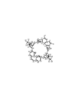 Cc1cc2cc(C)c3sc4nc3c2c2nc(oc12)c1cc(C(C)(C)C)cc(c1O)c1ccc2ccc3ccc(nc3c2n1)c1cc(C(C)(C)C)cc4c1O